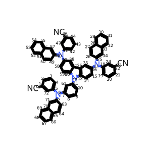 N#Cc1cccc(N(c2cccc(-n3c4ccc(N(c5cccc(C#N)c5)c5ccc6ccccc6c5)cc4c4cc(N(c5cccc(C#N)c5)c5ccc6ccccc6c5)ccc43)c2)c2ccc3ccccc3c2)c1